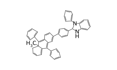 CC12CC=CC=C1C(c1ccccc1)=c1cc(-c3ccc(C4Nc5ccccc5N4c4ccccc4)cc3)ccc1=C2c1ccccc1